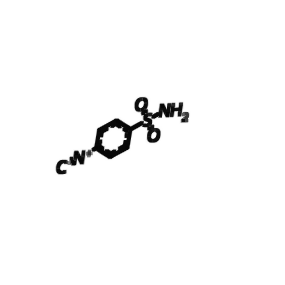 [C-]#[N+]c1ccc(S(N)(=O)=O)cc1